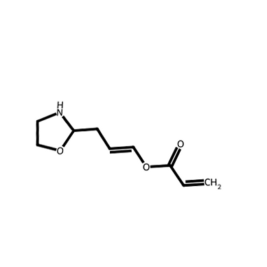 C=CC(=O)OC=CCC1NCCO1